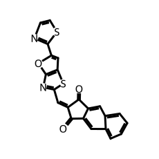 O=C1C(=Cc2nc3oc(-c4nccs4)cc3s2)C(=O)c2cc3ccccc3cc21